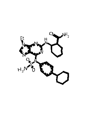 CCn1cnc2c(N(c3ccc(C4CCCCC4)cc3)S(N)(=O)=O)nc(NC3CCCCC3C(N)=O)nc21